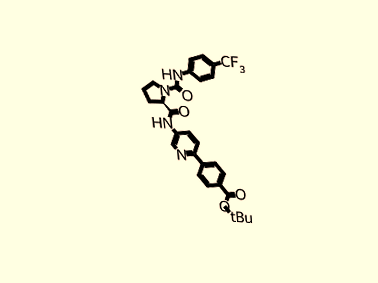 CC(C)(C)OC(=O)c1ccc(-c2ccc(NC(=O)[C@H]3CCCN3C(=O)Nc3ccc(C(F)(F)F)cc3)cn2)cc1